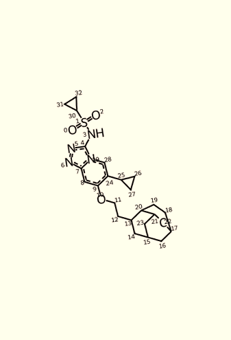 O=S(=O)(Nc1nnc2cc(OCCC3CC4CC5CCC3C(C5)C4)c(C3CC3)cn12)C1CC1